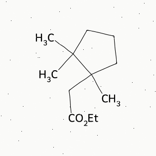 CCOC(=O)CC1(C)CCCC1(C)C